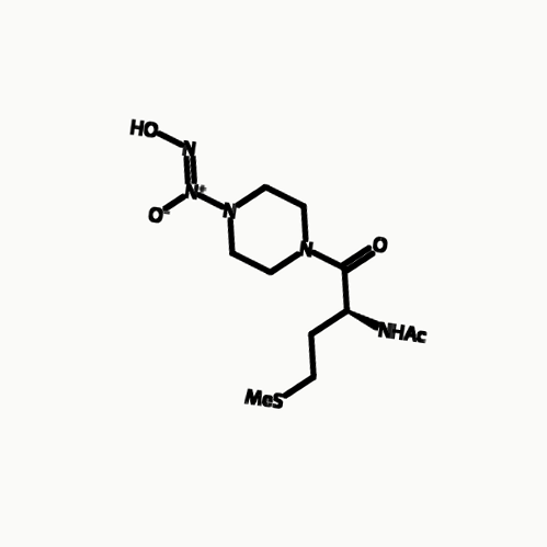 CSCC[C@H](NC(C)=O)C(=O)N1CCN([N+]([O-])=NO)CC1